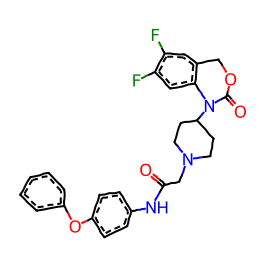 O=C(CN1CCC(N2C(=O)OCc3cc(F)c(F)cc32)CC1)Nc1ccc(Oc2ccccc2)cc1